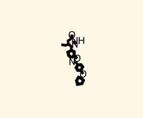 CCC1CC(=O)NN=C1c1ccc2nc(-c3ccc(Oc4ccccc4)cc3)oc2c1